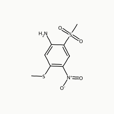 CSc1cc(N)c(S(C)(=O)=O)cc1[N+](=O)[O-]